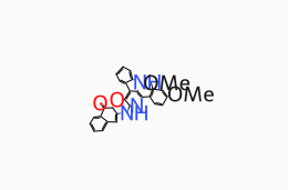 COc1ccc(-c2nc(NC3=Cc4ccccc4C(=O)C3=O)cc3c2[nH]c2ccccc23)c(OC)c1